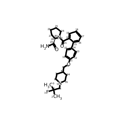 CC(C)(F)CN1CCC(COc2ccc(-c3ccccc3C(=O)N3CCCC[C@@H]3C(N)=O)cc2)CC1